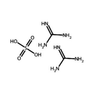 N=C(N)N.N=C(N)N.O=S(=O)(O)O